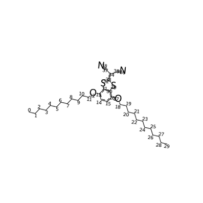 CCCCCCCCCCCCOc1ccc(OCCCCCCCCCCCC)c2c1SC(=C(C#N)C#N)S2